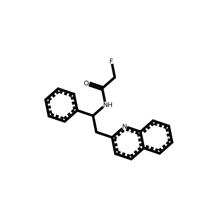 O=C(CF)NC(Cc1ccc2ccccc2n1)c1ccccc1